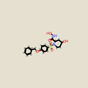 O=C(NO)C1CC(O)CCN1S(=O)(=O)c1ccc(OCc2ccccc2)cc1